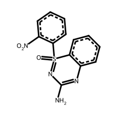 NC1=Nc2ccccc2S(=O)(c2ccccc2[N+](=O)[O-])=N1